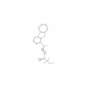 CCC(C)(C)C(=O)O/N=C(\C)c1cccc2c1Cc1ccccc1-2